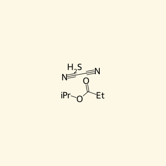 CCC(=O)OC(C)C.N#CC#N.S